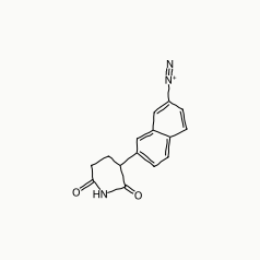 N#[N+]c1ccc2ccc(C3CCC(=O)NC3=O)cc2c1